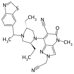 CC[C@H]1CN(C(C)c2ccc3ncsc3c2)[C@H](CC)CN1c1c(C#N)c(=O)n(C)c2cn(CC#N)nc12